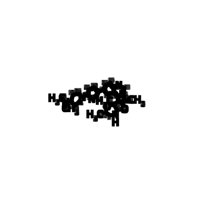 C[C@@H]1CNC[C@](C)(c2c(=O)n(C)n3cnc4ccc(-c5ccc(N6CCC(N(C)C)CC6)nc5)cc4c23)O1